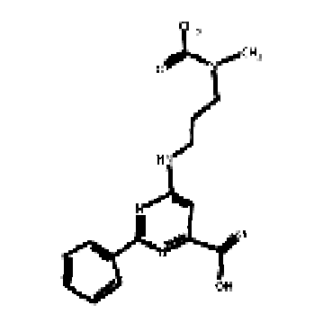 CC(=O)N(C)CCCNc1cc(C(=O)O)nc(-c2ccccc2)n1